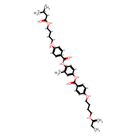 C=C(CC)OCCCCOc1ccc(C(=O)Oc2ccc(OC(=O)c3ccc(OCCCCOC(=O)CC(C)C)cc3)c(C)c2)cc1